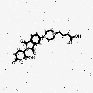 O=C(O)CCCN1CCN(c2ccc3c(c2)C(=O)N(C2CCC(=O)NC2O)C3=O)CC1